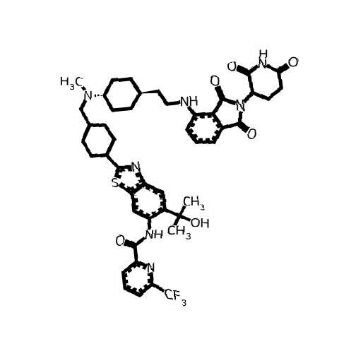 CN(CC1CCC(c2nc3cc(C(C)(C)O)c(NC(=O)c4cccc(C(F)(F)F)n4)cc3s2)CC1)[C@H]1CC[C@H](CCNc2cccc3c2C(=O)N(C2CCC(=O)NC2=O)C3=O)CC1